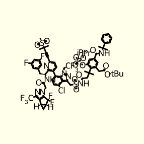 CC(C)OP(=O)(Oc1cc(C(=O)NC(C)(C)c2ccccc2)cc(CC(=O)OC(C)(C)C)c1C(C)(C)CC(=O)NS(=O)(=O)Cc1nn(CC(F)(F)F)c2c(-c3ccc(C#CC(C)(C)S(C)(=O)=O)nc3[C@H](Cc3cc(F)cc(F)c3)NC(=O)Cn3nc(C(F)(F)F)c4c3C(F)(F)[C@@H]3C[C@H]43)ccc(Cl)c12)OC(C)C